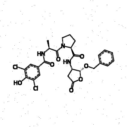 C[C@H](NC(=O)c1cc(Cl)c(O)c(Cl)c1)C(=O)N1CCC[C@H]1C(=O)NC1CC(=O)O[C@H]1OCc1ccccc1